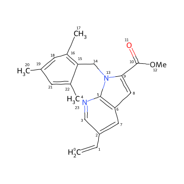 C=Cc1cnc2c(c1)cc(C(=O)OC)n2Cc1c(C)cc(C)cc1C